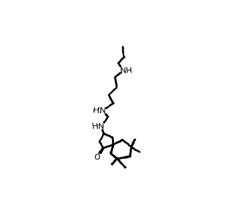 CCCNCCCCNCNC1CC(=O)C2(C1)CC(C)(C)CC(C)(C)C2